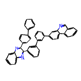 c1ccc(-c2ccc(-c3nc4ccccc4nc3-c3cccc(-c4cccc(-c5ccc6c(c5)ncc5ccccc56)c4)c3)cc2)cc1